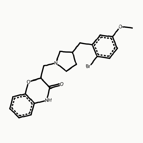 COc1ccc(Br)c(CC2CCN(CC3Oc4ccccc4NC3=O)C2)c1